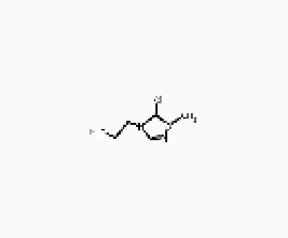 CCCN1C=NN(C)C1Cl